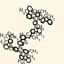 Cc1cc2c3c(c1)N1c4c(cccc4C4(C)CCCCC14C)B3c1ccc(N3c4ccc(C(C)(C)C)cc4C4(C)CCCCC34C)cc1N2c1ccc2c(c1)sc1c(CC(C)(C)c3ccc4c(c3)C3(C)CCCCC3(C)N4c3ccc4c(c3)N(c3ccc5c(c3)C(C)(C)c3ccccc3-5)c3cc(C)cc5c3B4c3cccc4c3N5C3(C)CCCCC43C)cccc12